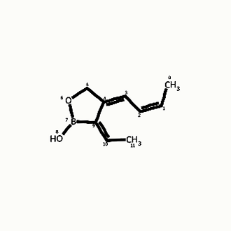 C\C=C/C=C1/COB(O)/C1=C/C